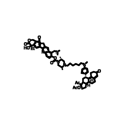 CC[C@@]1(O)C(=O)OCc2c1cc1n(c2=O)Cc2cc3c(CN(C)C)c(OC(=O)N4C[C@H](C)N(CCCCCCN(C)c5ccc([C@H]6CC7[C@@H](CC[C@]7(OC(C)=O)C(C)=O)[C@@H]7CCC8=CC(=O)CCC8=C76)cc5)C[C@H]4C)ccc3nc2-1